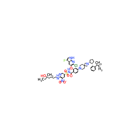 CC[C@@](C)(O)CCCCNc1ncc(S(=O)(=O)NC(=O)c2ccc(N3CCC4(CC3)CN([C@@H]3CCC[C@@H]3c3ccccc3C(C)C)C4)cc2Oc2cc3c(F)c[nH]c3nc2Cl)cc1[N+](=O)[O-]